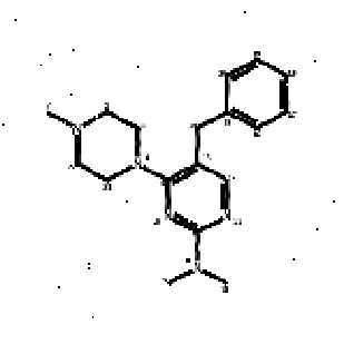 CN1CCN(c2nc(N(C)C)ncc2Cc2ccccc2)CC1